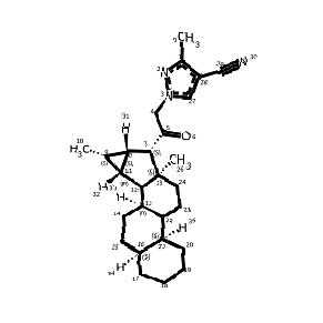 Cc1nn(CC(=O)[C@H]2[C@H]3[C@@H](C)[C@H]3C3[C@@H]4CC[C@@H]5CCCC[C@@H]5C4CC[C@@]32C)cc1C#N